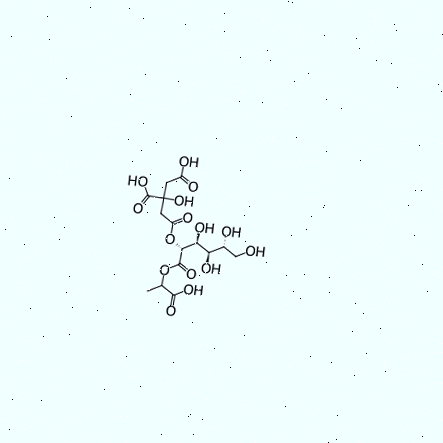 CC(OC(=O)[C@H](OC(=O)CC(O)(CC(=O)O)C(=O)O)[C@@H](O)[C@H](O)[C@H](O)CO)C(=O)O